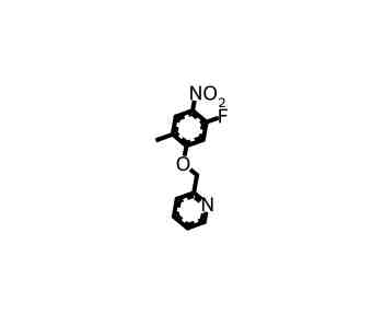 Cc1cc([N+](=O)[O-])c(F)cc1OCc1ccccn1